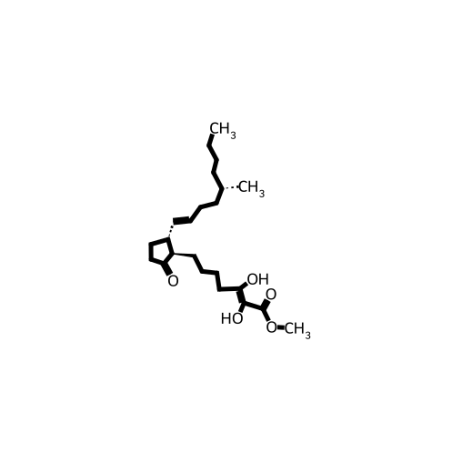 CCCC[C@H](C)CC/C=C/[C@H]1CCC(=O)[C@@H]1CCCC/C(O)=C(\O)C(=O)OC